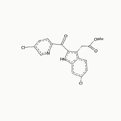 COC(=O)Cc1c(C(=O)c2ccc(Cl)cn2)[nH]c2cc(Cl)ccc12